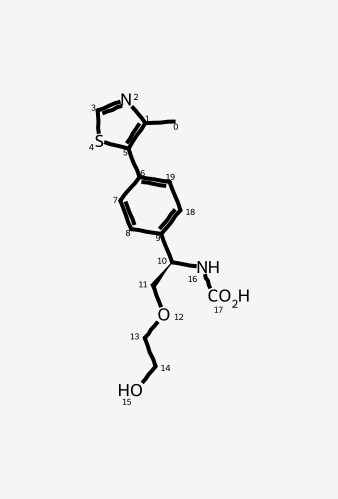 Cc1ncsc1-c1ccc([C@H](COCCO)NC(=O)O)cc1